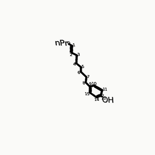 CCCC=CCCCCCCc1ccc(O)cc1